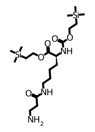 C[Si](C)(C)CCOC(=O)N[C@@H](CCCCNC(=O)CCN)C(=O)OCC[Si](C)(C)C